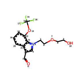 O=Cc1cn(CCOCCO)c2c(OC(F)(F)F)cccc12